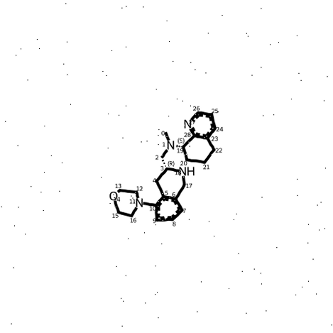 CN(C[C@H]1Cc2c(cccc2N2CCOCC2)CN1)[C@H]1CCCc2cccnc21